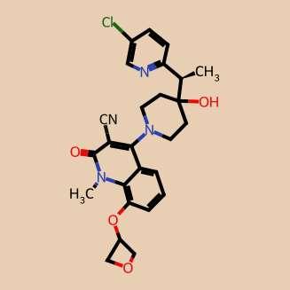 C[C@H](c1ccc(Cl)cn1)C1(O)CCN(c2c(C#N)c(=O)n(C)c3c(OC4COC4)cccc23)CC1